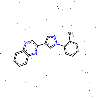 Bc1ccccc1-n1cc(-c2cnc3ccccc3n2)cn1